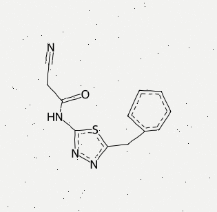 N#CCC(=O)Nc1nnc(Cc2ccccc2)s1